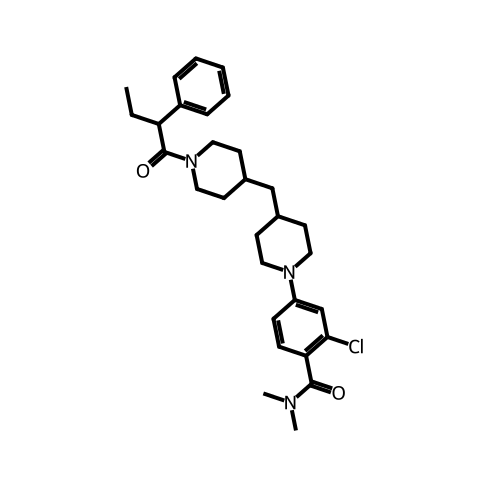 CCC(C(=O)N1CCC(CC2CCN(c3ccc(C(=O)N(C)C)c(Cl)c3)CC2)CC1)c1ccccc1